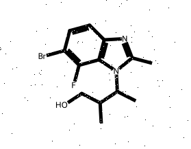 Cc1nc2ccc(Br)c(F)c2n1C(C)C(C)CO